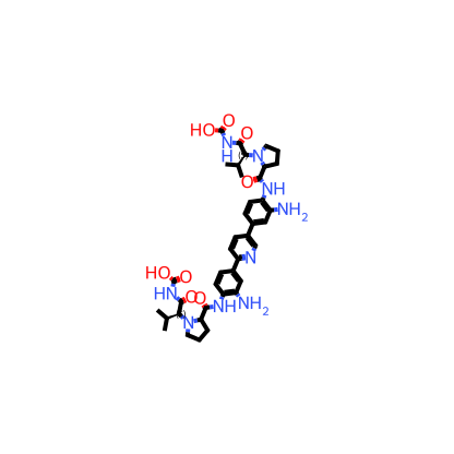 CC(C)[C@@H](C(=O)NC(=O)O)N1CCCC1C(=O)Nc1ccc(-c2ccc(-c3ccc(NC(=O)C4CCCN4[C@H](C(=O)NC(=O)O)C(C)C)c(N)c3)nc2)cc1N